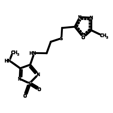 CNC1=NS(=O)(=O)N=C1NCCSCc1nnc(C)o1